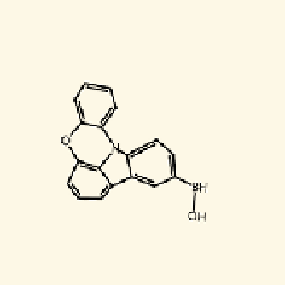 OBc1ccc2c(c1)c1cccc3c1n2-c1ccccc1O3